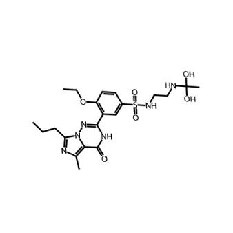 CCCc1nc(C)c2c(=O)[nH]c(-c3cc(S(=O)(=O)NCCNC(C)(O)O)ccc3OCC)nn12